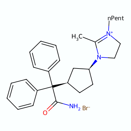 CCCCC[N+]1=C(C)N([C@H]2CC[C@@H](C(C(N)=O)(c3ccccc3)c3ccccc3)C2)CC1.[Br-]